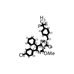 COc1nc(-c2ccc(Cl)cc2)c(-c2ccccc2)c2nn(Cc3ccc(C(C)(F)F)cc3)c(=O)n12